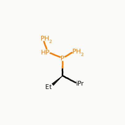 CC[C@H](C(C)C)P(P)PP